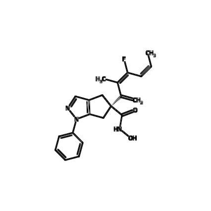 C=C(/C(C)=C(F)\C=C/C)[C@@]1(C(=O)NO)Cc2cnn(-c3ccccc3)c2C1